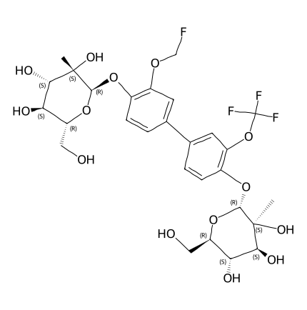 C[C@@]1(O)[C@@H](Oc2ccc(-c3ccc(O[C@H]4O[C@H](CO)[C@@H](O)[C@H](O)[C@]4(C)O)c(OC(F)(F)F)c3)cc2OCF)O[C@H](CO)[C@@H](O)[C@@H]1O